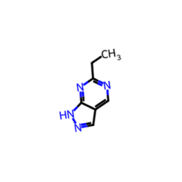 CCc1ncc2cn[nH]c2n1